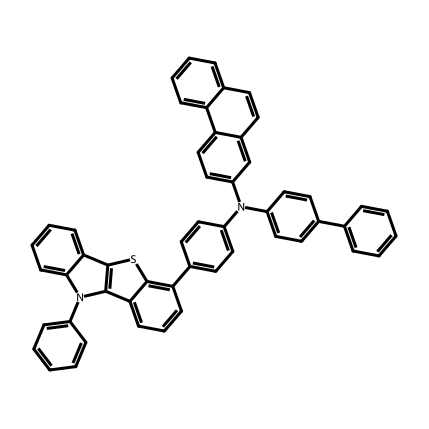 c1ccc(-c2ccc(N(c3ccc(-c4cccc5c4sc4c6ccccc6n(-c6ccccc6)c54)cc3)c3ccc4c(ccc5ccccc54)c3)cc2)cc1